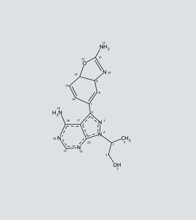 CC(CO)n1nc(C2=CC3N=C(N)OC3C=C2)c2c(N)ncnc21